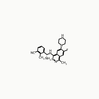 Cc1c(C#N)cccc1[C@@H](N)Nc1nnc(C)c2cc(F)c(N3CCNCC3)cc12